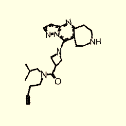 C#CCCN(CC(C)C)C(=O)C1CN(c2c3c(nc4ccnn24)CCNCC3)C1